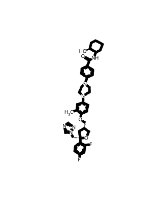 Cc1cc(N2CCN(c3ccc(C(=O)NC4CCCC[C@@H]4O)cc3)CC2)ccc1OC[C@@H]1CO[C@@](Cn2cncn2)(c2ccc(F)cc2F)C1